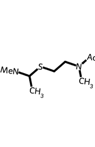 CNC(C)SCCN(C)C(C)=O